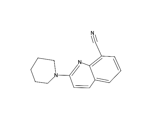 N#Cc1cccc2ccc(N3CCCCC3)nc12